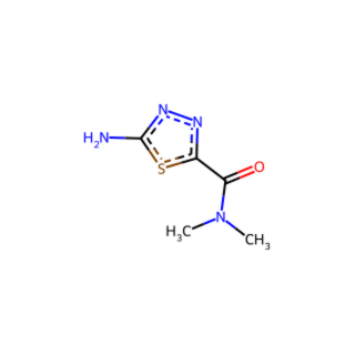 CN(C)C(=O)c1nnc(N)s1